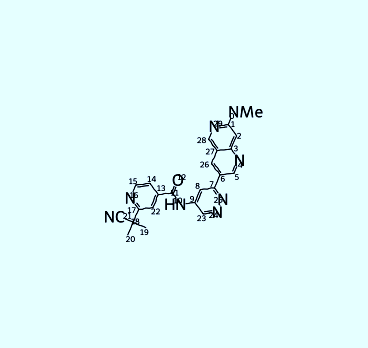 CNc1cc2ncc(-c3cc(NC(=O)c4ccnc(C(C)(C)C#N)c4)cnn3)cc2cn1